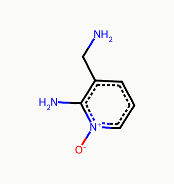 NCc1ccc[n+]([O-])c1N